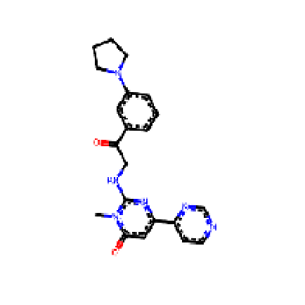 Cn1c(NCC(=O)c2cccc(N3CCCC3)c2)nc(-c2ccncn2)cc1=O